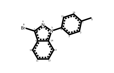 Cc1ccc(-n2nc(Br)c3ccccc32)cc1